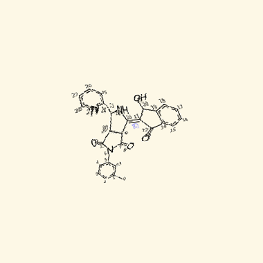 Cc1cccc(N2C(=O)C3/C(=C4\C(=O)c5ccccc5C4O)NC(c4ccccn4)C3C2=O)c1